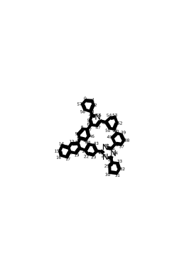 c1ccc(-c2cc(-c3ccc(-c4cc5ccccc5cc4-c4ccc(-c5nc(-c6ccccc6)nc(-c6ccccc6)n5)cc4)cc3)cc(-c3ccccc3)n2)cc1